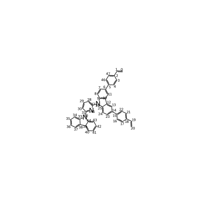 C=Cc1ccc(-c2ccc3c(c2)c2cc(-c4ccc(C=C)cc4)ccc2n3-c2cccc(-n3c4ccccc4c4ccccc43)n2)cc1